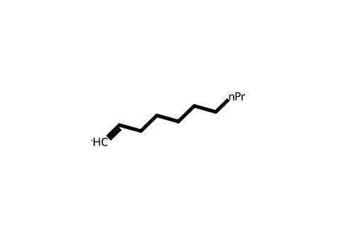 [CH]=CCCCCCCCC